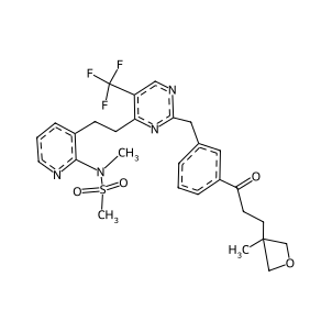 CN(c1ncccc1CCc1nc(Cc2cccc(C(=O)CCC3(C)COC3)c2)ncc1C(F)(F)F)S(C)(=O)=O